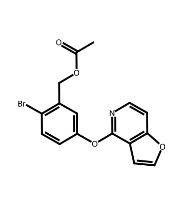 CC(=O)OCc1cc(Oc2nccc3occc23)ccc1Br